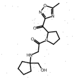 Cc1nc(C(=O)C2CCCN2C(=O)CNC2(CO)CCCC2)no1